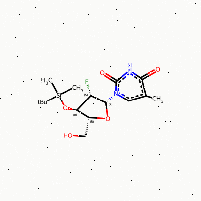 Cc1cn([C@@H]2O[C@H](CO)[C@@H](O[Si](C)(C)C(C)(C)C)[C@@H]2F)c(=O)[nH]c1=O